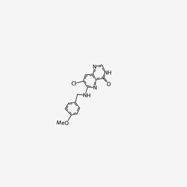 COc1ccc(CNc2nc3c(=O)[nH]cnc3cc2Cl)cc1